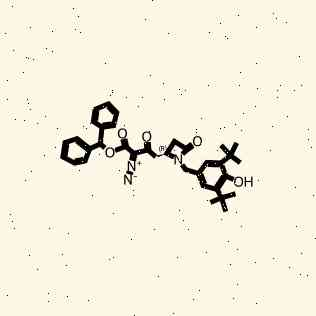 CC(C)(C)c1cc(CN2C(=O)C[C@H]2CC(=O)C(=[N+]=[N-])C(=O)OC(c2ccccc2)c2ccccc2)cc(C(C)(C)C)c1O